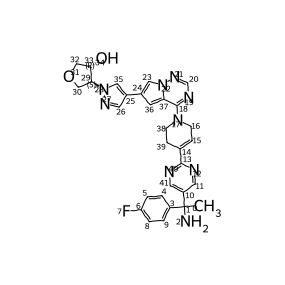 CC(N)(c1ccc(F)cc1)c1cnc(C2=CCN(c3ncnn4cc(-c5cnn([C@H]6COC[C@@H]6O)c5)cc34)CC2)nc1